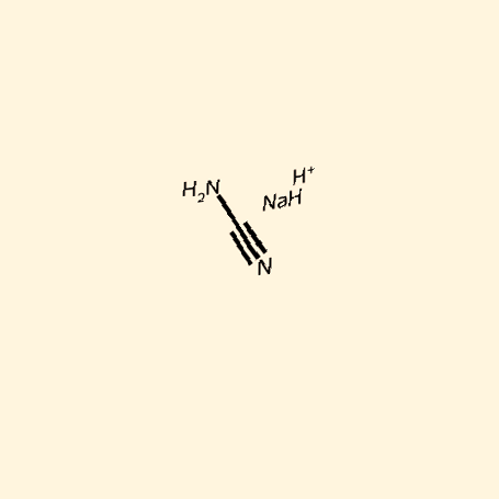 N#CN.[H+].[NaH]